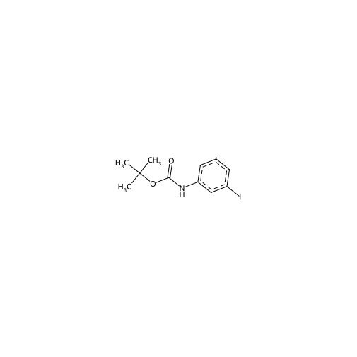 CC(C)(C)OC(=O)Nc1c[c]cc(I)c1